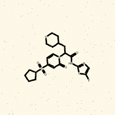 O=C(Nc1ncc(F)s1)C(CC1CCOCC1)n1ccc(S(=O)(=O)C2CCCC2)cc1=O